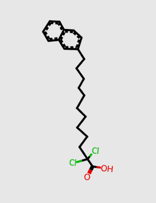 O=C(O)C(Cl)(Cl)CCCCCCCCCCc1ccc2ccccc2c1